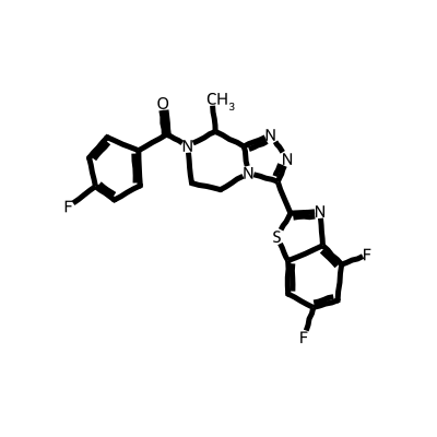 CC1c2nnc(-c3nc4c(F)cc(F)cc4s3)n2CCN1C(=O)c1ccc(F)cc1